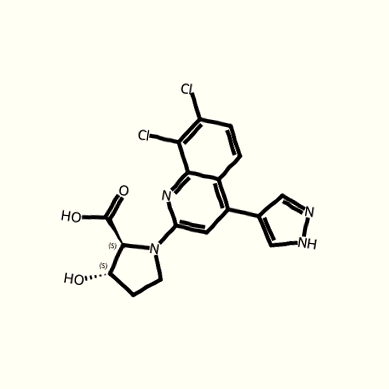 O=C(O)[C@@H]1[C@@H](O)CCN1c1cc(-c2cn[nH]c2)c2ccc(Cl)c(Cl)c2n1